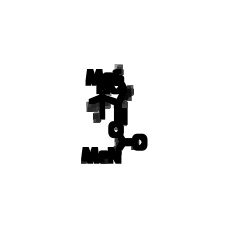 CNC(=O)ON=C(CSC)C(C)(C)[N+](=O)[O-]